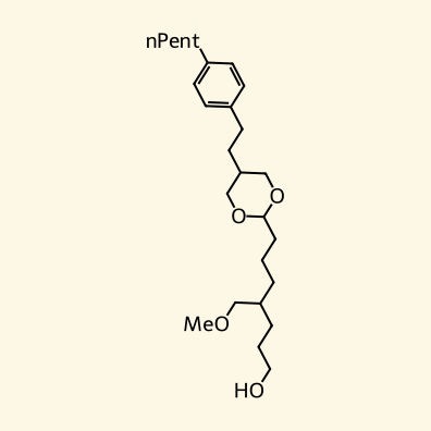 CCCCCc1ccc(CCC2COC(CCCC(CCCO)COC)OC2)cc1